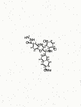 CCCNC(=O)c1ccc(O/C(C=N)=C(/Nc2cc(Cl)ccc2Cl)c2ccc3cc(OC)ccc3c2)cc1